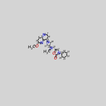 COc1ccc2nccc(N3CC(N(C)C[C@@H]4CN(c5ccccc5)C(=O)O4)C3)c2n1